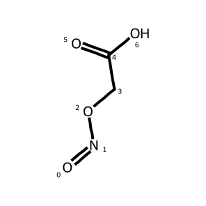 O=NOCC(=O)O